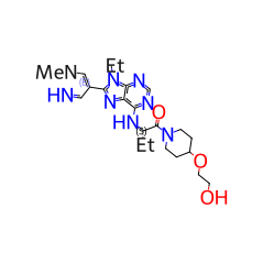 CC[C@H](Nc1ncnc2c1nc(/C(C=N)=C/NC)n2CC)C(=O)N1CCC(OCCO)CC1